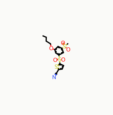 CCCCOc1cc(S(C)(=O)=O)cc(S(=O)(=O)c2ccc(C#N)s2)c1